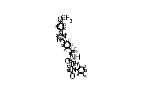 CCCc1ccc(C)cc1N1C(=O)CS/C1=N\C(=O)N/C=C(\F)c1ccc(-c2ncn(-c3ccc(OC(F)(F)F)cc3)n2)cc1